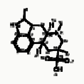 CC1Nc2cccc3c2C1C[C@@H]1[C@@H]3CC(C)(S(=O)(=O)O)CN1C